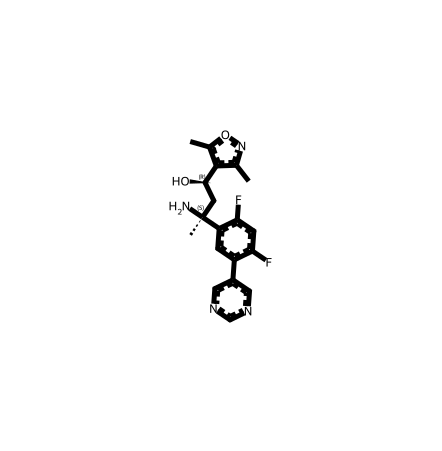 Cc1noc(C)c1[C@H](O)C[C@](C)(N)c1cc(-c2cncnc2)c(F)cc1F